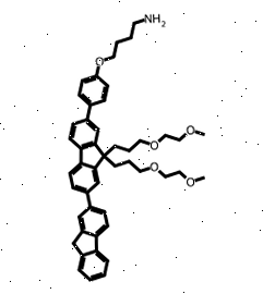 COCCOCCCC1(CCCOCCOC)c2cc(-c3ccc(OCCCCN)cc3)ccc2-c2ccc(-c3ccc4c(c3)Cc3ccccc3-4)cc21